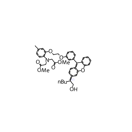 CCCC/C(CO)=c1\ccc2c(c1)Oc1ccccc1C=2c1cccc(OCCOc2cc(C)ccc2N(CC(=O)OC)CC(=O)OC)c1